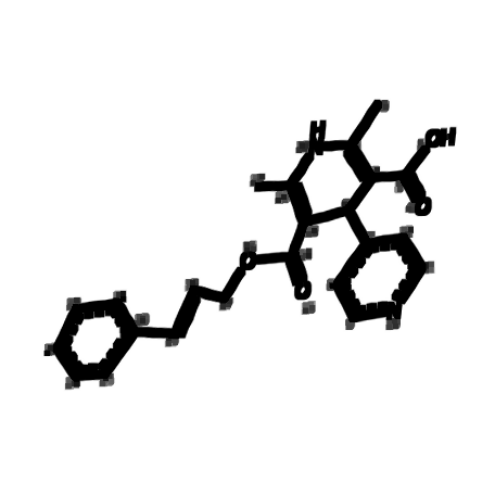 CC1=C(C(=O)O)C(c2ccncc2)C(C(=O)OCC=Cc2ccccc2)=C(C)N1